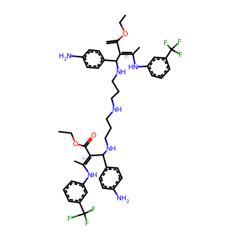 C=C(OCC)/C(=C(\C)Nc1cccc(C(F)(F)F)c1)C(NCCCNCCCNC(/C(C(=O)OCC)=C(/C)Nc1cccc(C(F)(F)F)c1)c1ccc(N)cc1)c1ccc(N)cc1